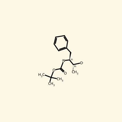 C[C@@H]([O])[C@H](Cc1ccccc1)[N]C(=O)OC(C)(C)C